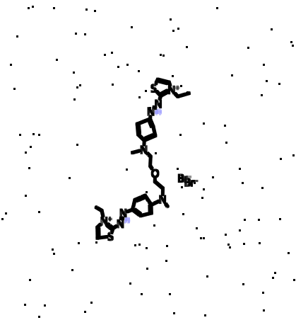 CC[n+]1ccsc1/N=N/c1ccc(N(C)CCOCCN(C)c2ccc(/N=N/c3scc[n+]3CC)cc2)cc1.[Br-].[Br-]